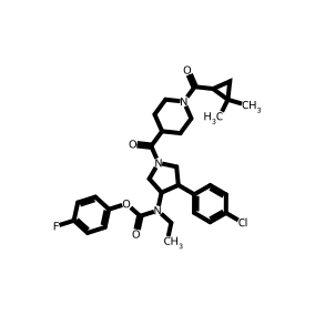 CCN(C(=O)Oc1ccc(F)cc1)C1CN(C(=O)C2CCN(C(=O)C3CC3(C)C)CC2)CC1c1ccc(Cl)cc1